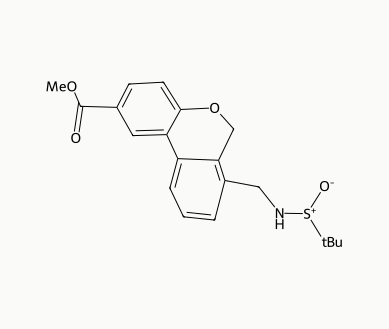 COC(=O)c1ccc2c(c1)-c1cccc(CN[S+]([O-])C(C)(C)C)c1CO2